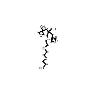 CC1(CC(O)(COCCOCCOCCO)CC2(C)COC2)COC1